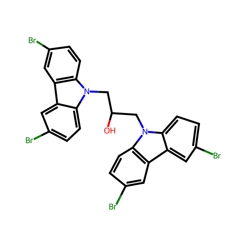 OC(Cn1c2ccc(Br)cc2c2cc(Br)ccc21)Cn1c2ccc(Br)cc2c2cc(Br)ccc21